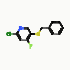 Fc1cc(Cl)ncc1SCc1ccccc1